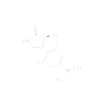 C[C@@H]1C(=O)NC[C@H]1c1c(F)cc(N(C)C)cc1F